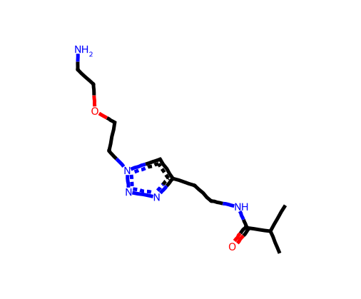 CC(C)C(=O)NCCc1cn(CCOCCN)nn1